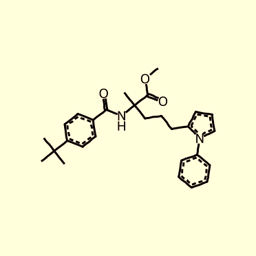 COC(=O)C(C)(CCCc1cccn1-c1ccccc1)NC(=O)c1ccc(C(C)(C)C)cc1